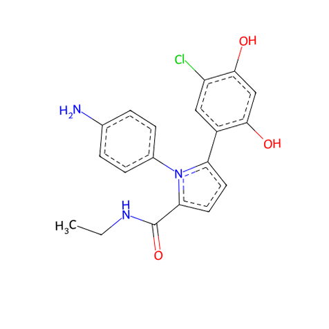 CCNC(=O)c1ccc(-c2cc(Cl)c(O)cc2O)n1-c1ccc(N)cc1